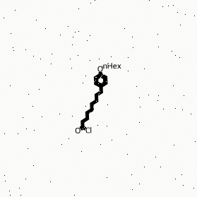 CCCCCCOc1ccc(CCCCCCCCC(=O)Cl)cc1